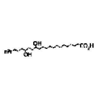 CCCC=CCC(O)CCC(O)CCCCCCCCCCCCC(=O)O